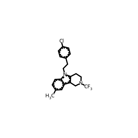 Cc1ccc2c(c1)c1c(n2CCc2ccc(Cl)cc2)CCN(C(F)(F)F)C1